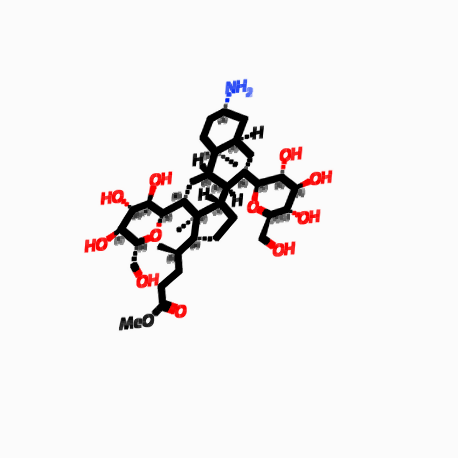 COC(=O)CC[C@@H](C)[C@H]1CC[C@H]2[C@@H]3[C@@H]([C@@H]4O[C@H](CO)[C@@H](O)[C@H](O)[C@H]4O)C[C@@H]4C[C@@H](N)CC[C@]4(C)[C@H]3C[C@@H]([C@@H]3O[C@H](CO)[C@@H](O)[C@H](O)[C@H]3O)[C@]12C